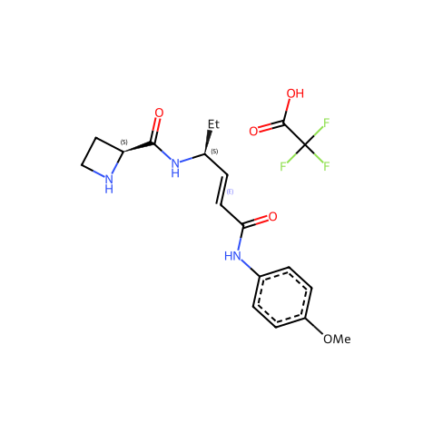 CC[C@@H](/C=C/C(=O)Nc1ccc(OC)cc1)NC(=O)[C@@H]1CCN1.O=C(O)C(F)(F)F